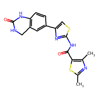 Cc1nc(C)c(C(=O)Nc2nc(-c3ccc4c(c3)CNC(=O)N4)cs2)s1